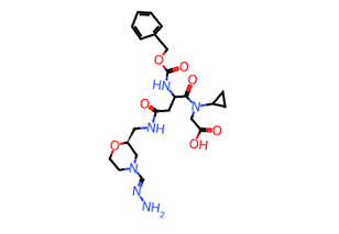 NN=CN1CCO[C@@H](CNC(=O)CC(NC(=O)OCc2ccccc2)C(=O)N(CC(=O)O)C2CC2)C1